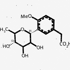 COc1ccc(CC(=O)O)cc1[C@H]1OC(C)[C@@H](O)C(O)C1O